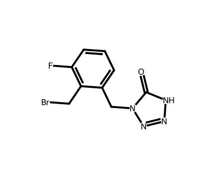 O=c1[nH]nnn1Cc1cccc(F)c1CBr